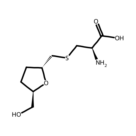 N[C@@H](CSC[C@H]1CC[C@H](CO)O1)C(=O)O